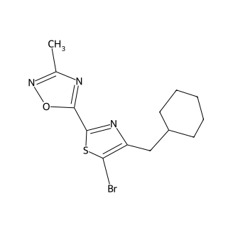 Cc1noc(-c2nc(CC3CCCCC3)c(Br)s2)n1